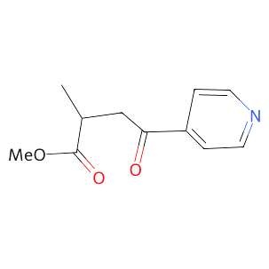 COC(=O)C(C)CC(=O)c1ccncc1